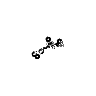 O=C(Nc1c[nH]c2ncccc12)N(CCCCN1CCN(c2cccc3c2OCCC3)CC1)S(=O)(=O)c1ccccc1